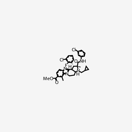 COC(=O)c1ccc2nc3n(c2c1C)CC[C@H]1[C@@H]3[C@H](c2cccc(Cl)c2F)[C@](C)(C(=O)Nc2cccc(Cl)c2)N1CC1CC1